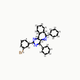 Brc1cccc(-c2nc(-c3ccccc3)c3nc(-c4ccccc4)c4ccccc4c3n2)c1